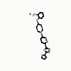 FC(F)(F)c1ccccc1OC1CCN(c2ccc(-c3nnc(-c4cccs4)o3)nn2)CC1